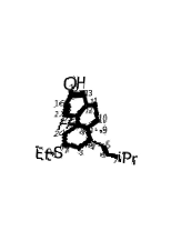 CCS[C@@H]1C[C@H](CCC(C)C)[C@]2(C)CCc3cc(O)ccc3[C@H]2C1